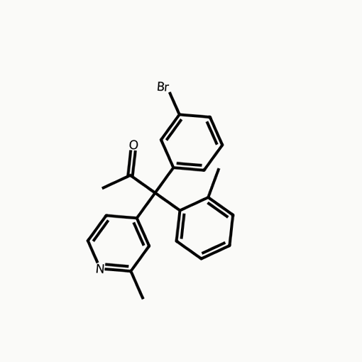 CC(=O)C(c1cccc(Br)c1)(c1ccnc(C)c1)c1ccccc1C